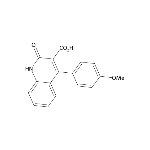 COc1ccc(-c2c(C(=O)O)c(=O)[nH]c3ccccc23)cc1